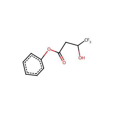 O=C(CC(O)C(F)(F)F)Oc1ccccc1